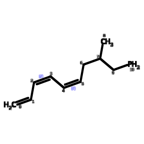 C=C/C=C\C=C/CC(C)CP